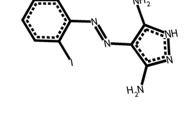 Nc1n[nH]c(N)c1N=Nc1ccccc1I